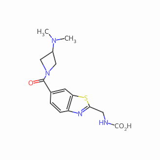 CN(C)C1CN(C(=O)c2ccc3nc(CNC(=O)O)sc3c2)C1